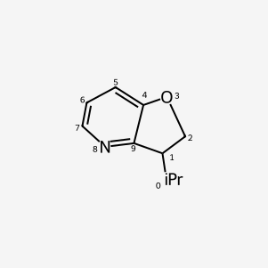 CC(C)C1COc2cccnc21